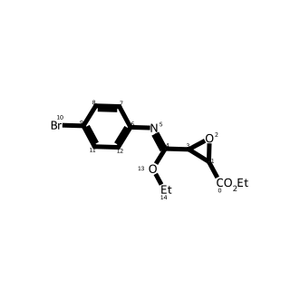 CCOC(=O)C1OC1C(=Nc1ccc(Br)cc1)OCC